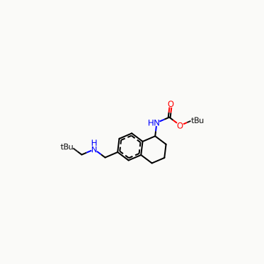 CC(C)(C)CNCc1ccc2c(c1)CCCC2NC(=O)OC(C)(C)C